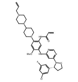 C=CCN1CCN(C2CCN(c3cc(OC)c(Nc4cc(N5OCC[C@@H]5c5cc(F)cc(Cl)c5)ncn4)cc3NC(=O)C=C)CC2)CC1